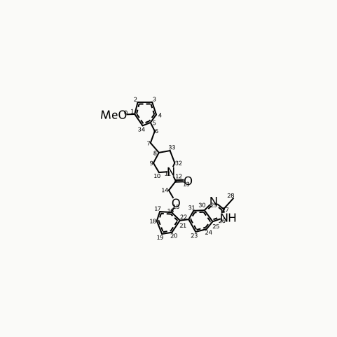 COc1cccc(CCC2CCN(C(=O)COc3ccccc3-c3ccc4[nH]c(C)nc4c3)CC2)c1